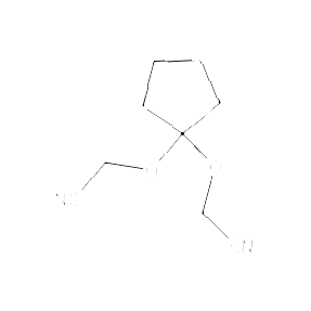 N#CCOC1(OCC#N)CCCC1